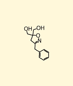 OCC1(CO)CC(Cc2ccccc2)=NO1